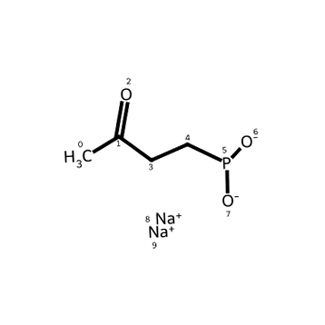 CC(=O)CCP([O-])[O-].[Na+].[Na+]